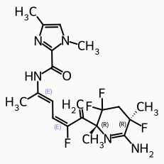 C=C(/C(F)=C\C=C(/C)NC(=O)c1nc(C)cn1C)[C@@]1(C)N=C(N)[C@](C)(F)CC1(F)F